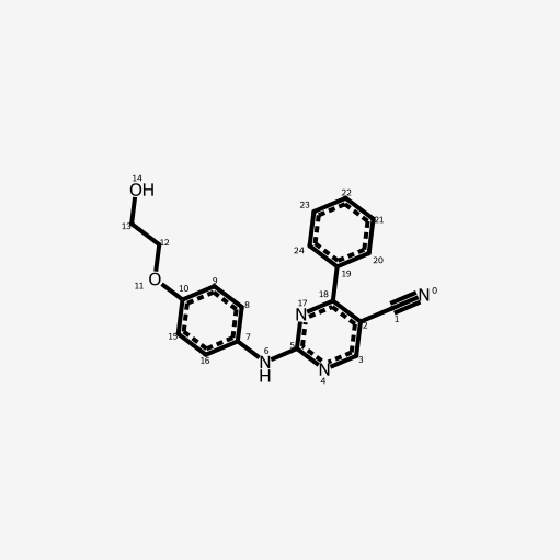 N#Cc1cnc(Nc2ccc(OCCO)cc2)nc1-c1ccccc1